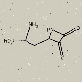 NC(CC1NC(=O)C1=O)C(=O)O